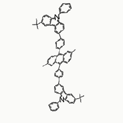 Cc1ccc2c(-c3ccc(-c4ccc5c(c4)c4cc(C(C)(C)C)ccc4n5-c4ccccc4)cc3)c3cc(C)ccc3c(-c3ccc(-c4ccc5c(c4)c4cc(C(C)(C)C)ccc4n5-c4ccccc4)cc3)c2c1